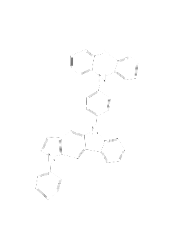 c1ccc(-n2ccc3cc4c(cc32)c2ccccc2n4-c2ccc(N3c4ccccc4Sc4ccccc43)cc2)cc1